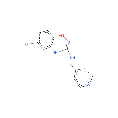 O/N=C(/NCc1ccncc1)Nc1cccc(Cl)c1